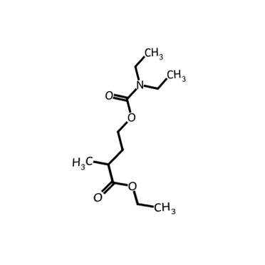 CCOC(=O)C(C)CCOC(=O)N(CC)CC